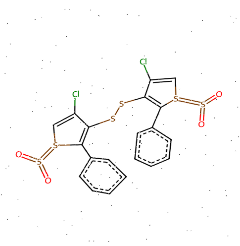 O=S(=O)=S1C=C(Cl)C(SSC2=C(c3ccccc3)S(=S(=O)=O)C=C2Cl)=C1c1ccccc1